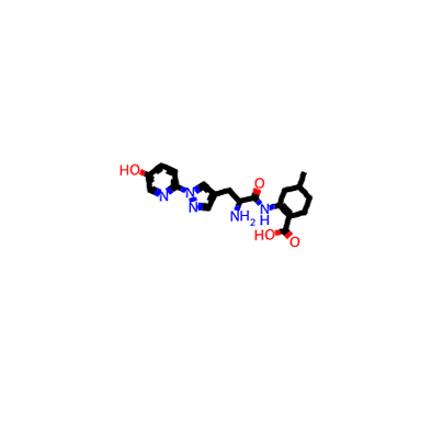 CC1CCC(C(=O)O)=C(NC(=O)C(N)Cc2cnn(-c3ccc(O)cn3)c2)C1